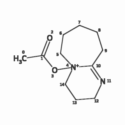 CC(=O)O[N+]12CCCCCC1=NCCC2